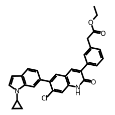 CCOC(=O)Cc1cccc(-c2cc3cc(-c4ccc5ccn(C6CC6)c5c4)c(Cl)cc3[nH]c2=O)c1